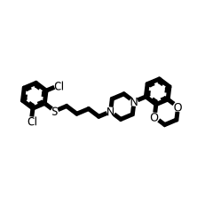 Clc1cccc(Cl)c1SCCCCN1CCN(c2cccc3c2OCCO3)CC1